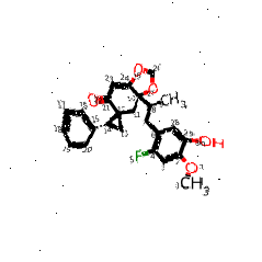 COc1cc(F)c(C[C@H](C)[C@]23CC4(C[C@@H]4c4ccccc4)C(=O)C=C2OCO3)cc1O